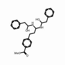 COC(=O)c1ccc(CCC(NC(O)Cc2ccccc2)NC(O)Cc2ccccc2)cc1